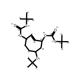 CC(C)(C)OC1CCC(OC(=O)SC(C)(C)C)/C=C/C(OC(=O)SC(C)(C)C)C1